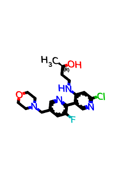 C[C@@H](O)CCNc1cc(Cl)ncc1-c1ncc(CN2CCOCC2)cc1F